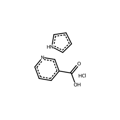 Cl.O=C(O)c1cccnc1.c1cc[nH]c1